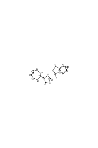 c1cc2c(cn1)CCC2C[C@@H]1CCN(C2CCCOCC2)C1